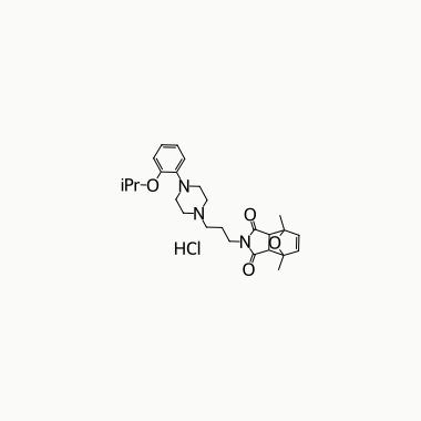 CC(C)Oc1ccccc1N1CCN(CCCN2C(=O)C3C(C2=O)C2(C)C=CC3(C)O2)CC1.Cl